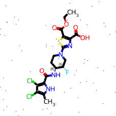 CCOC(=O)c1sc(N2CC[C@@H](NC(=O)c3[nH]c(C)c(Cl)c3Cl)[C@@H](F)C2)nc1C(=O)O